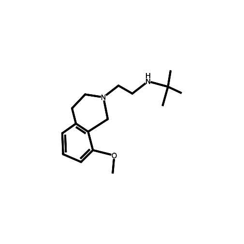 COc1cccc2c1CN(CCNC(C)(C)C)CC2